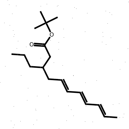 C/C=C/C=C/C=C/CC(CCC)CC(=O)OC(C)(C)C